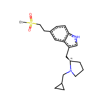 CCS(=O)(=O)CCc1ccc2[nH]cc(C[C@H]3CCCN3CC3CC3)c2c1